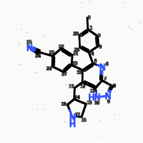 Cc1ccc(-c2nc3cn[nH]c3c(CC3CCNC3)c2-c2ccc(C#N)cc2)cc1